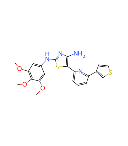 COc1cc(Nc2nc(N)c(-c3cccc(-c4ccsc4)n3)s2)cc(OC)c1OC